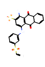 C=CS(=O)(=O)c1cccc(Nc2cc(S(=O)(=O)O)c(N)c3c2C(=O)C2C=CC=CC2C3=O)c1